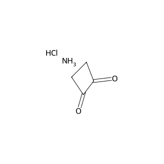 Cl.N.O=C1CCC1=O